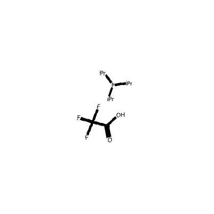 CC(C)P(C(C)C)C(C)C.O=C(O)C(F)(F)F